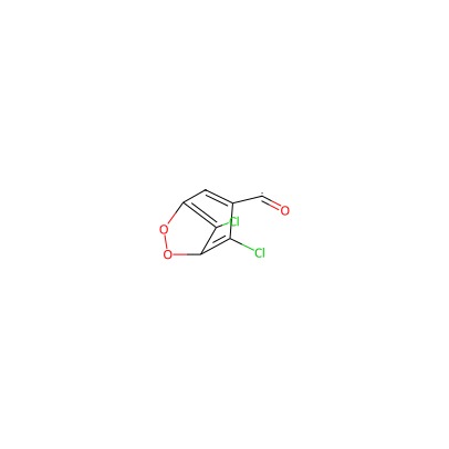 O=[C]c1cc2c(Cl)c(c1Cl)OO2